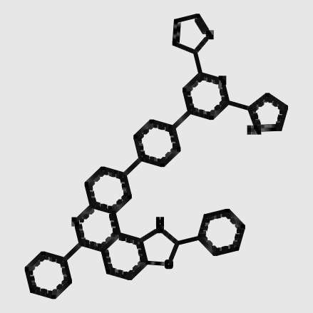 C1=CC(c2cc(-c3ccc(-c4ccc5nc(-c6ccccc6)c6ccc7c(c6c5c4)NC(c4ccccc4)O7)cc3)cc(-c3ccc[nH]3)n2)N=C1